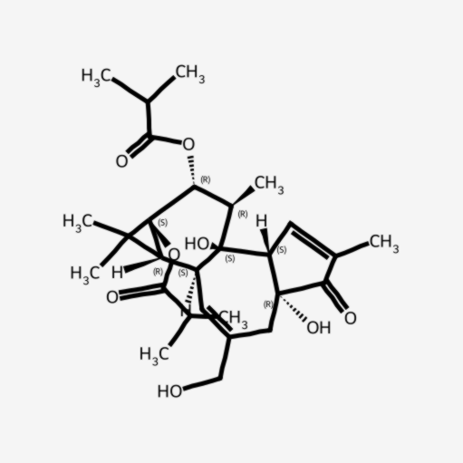 CC1=C[C@H]2[C@@]3(O)[C@H](C)[C@@H](OC(=O)C(C)C)[C@]4(OC(=O)C(C)C)[C@H]([C@@H]3C=C(CO)C[C@]2(O)C1=O)C4(C)C